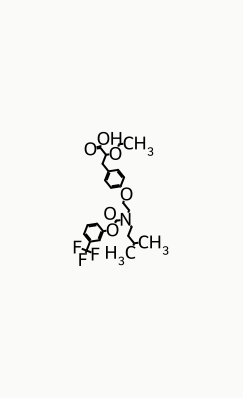 CCOC(Cc1ccc(OCCN(CCC(C)C)C(=O)Oc2cccc(C(F)(F)F)c2)cc1)C(=O)O